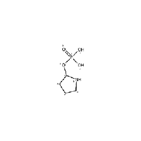 O=P(O)(O)OC1CCCN1